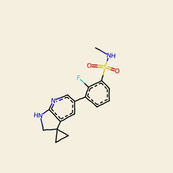 CNS(=O)(=O)c1cccc(-c2cnc3c(c2)C2(CC2)CN3)c1F